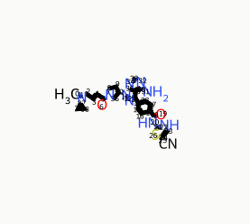 CN(C/C=C/C(=O)N1CC[C@@H](n2nc(-c3ccc(C(=O)NC4NC=C(C#N)S4)cc3)c3c(N)ncnc32)C1)C1CC1